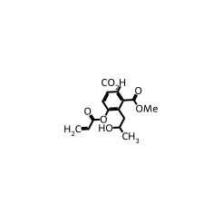 C=CC(=O)Oc1ccc(C(=O)O)c(C(=O)OC)c1CC(C)O